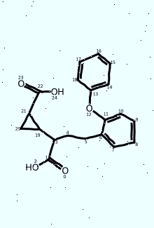 O=C(O)C(CCc1ccccc1Oc1ccccc1)C1CC1C(=O)O